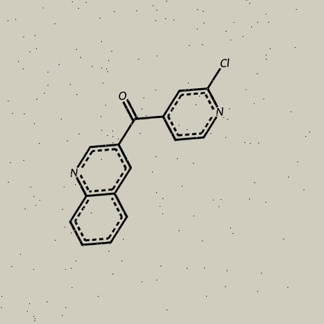 O=C(c1ccnc(Cl)c1)c1cnc2ccccc2c1